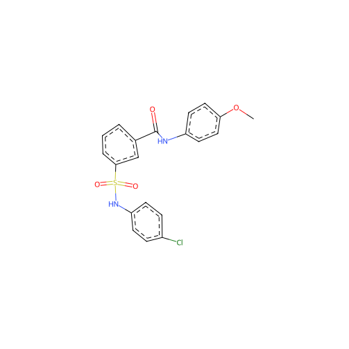 COc1ccc(NC(=O)c2cccc(S(=O)(=O)Nc3ccc(Cl)cc3)c2)cc1